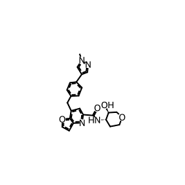 Cn1cc(-c2ccc(Cc3cc(C(=O)N[C@H]4CCOC[C@@H]4O)nc4ccoc34)cc2)cn1